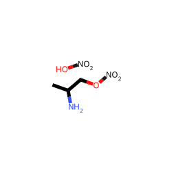 CC(N)CO[N+](=O)[O-].O=[N+]([O-])O